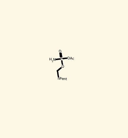 CCCCCCOP(N)(=O)OC(C)=O